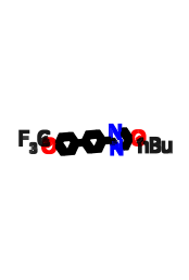 CCCCOc1cnc(-c2ccc(-c3ccc(OC(F)(F)F)cc3)cc2)nc1